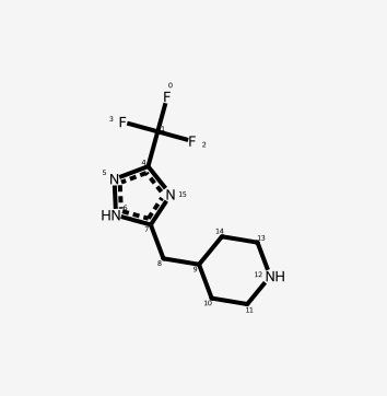 FC(F)(F)c1n[nH]c(CC2CCNCC2)n1